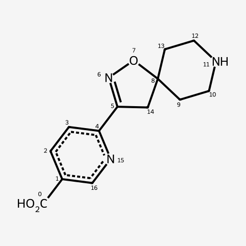 O=C(O)c1ccc(C2=NOC3(CCNCC3)C2)nc1